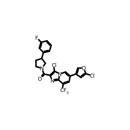 O=C(c1nc2c(C(F)(F)F)cc(-c3coc(Cl)c3)cn2c1Cl)N1CCC(c2cccc(F)c2)C1